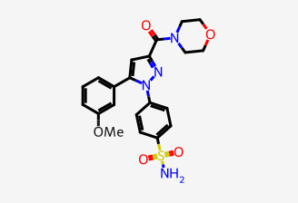 COc1cccc(-c2cc(C(=O)N3CCOCC3)nn2-c2ccc(S(N)(=O)=O)cc2)c1